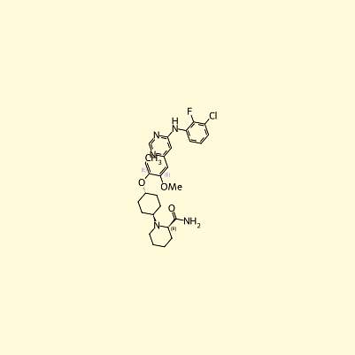 C/C=C(O[C@H]1CC[C@H](N2CCCC[C@@H]2C(N)=O)CC1)\C(=C/c1cc(Nc2cccc(Cl)c2F)ncn1)OC